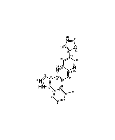 Cc1cccc(-c2[nH]ncc2-c2ccc3ncc(-c4nnco4)cc3n2)n1